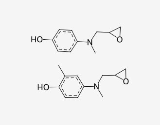 CN(CC1CO1)c1ccc(O)cc1.Cc1cc(N(C)CC2CO2)ccc1O